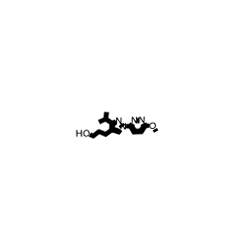 COc1ccc(-n2cc(CCCO)c(C(C)C)n2)nn1